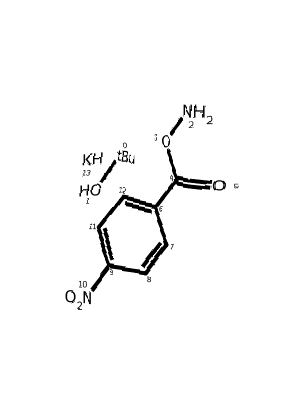 CC(C)(C)O.NOC(=O)c1ccc([N+](=O)[O-])cc1.[KH]